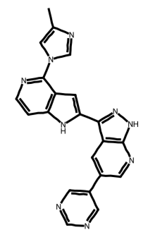 Cc1cn(-c2nccc3[nH]c(-c4n[nH]c5ncc(-c6cncnc6)cc45)cc23)cn1